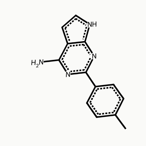 Cc1ccc(-c2nc(N)c3cc[nH]c3n2)cc1